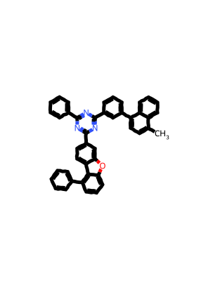 Cc1ccc(-c2cccc(-c3nc(-c4ccccc4)nc(-c4ccc5c(c4)oc4cccc(-c6ccccc6)c45)n3)c2)c2ccccc12